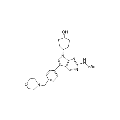 CCCCNc1ncc2c(-c3ccc(CN4CCOCC4)cc3)cn([C@H]3CC[C@H](O)CC3)c2n1